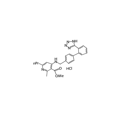 CCCc1cc(NCc2ccc(-c3ccccc3-c3nnn[nH]3)cc2)c(C(=O)OC)c(C)n1.Cl